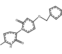 O=c1[nH]c(F)ccc1-n1ccc(OCc2ccccc2)cc1=O